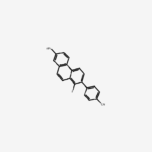 CCCc1ccc2c(ccc3c(F)c(-c4ccc(C#N)cc4)ccc32)c1